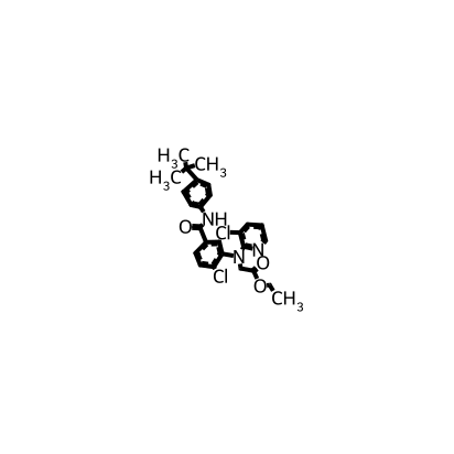 CCOC(=O)CN(c1cc(C(=O)Nc2ccc(C(C)(C)C)cc2)ccc1Cl)c1ncccc1Cl